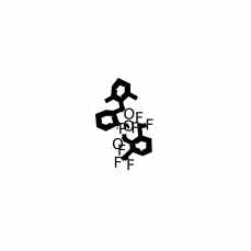 Cc1cccc(C)c1C(=O)c1ccccc1[P](=O)C(=O)c1c(C(F)(F)F)cccc1C(F)(F)F